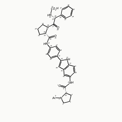 CC(=O)N1CCC[C@H]1C(=O)Nc1ccc2[nH]c(-c3ccc(NC(=O)[C@@H]4CCCN4C(=O)[C@H](NC(=O)O)c4ccccc4)cc3)cc2c1